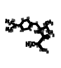 CC(C)C(=O)N[C@@H](CN1CCC(N(C)C)CC1)C(C)C